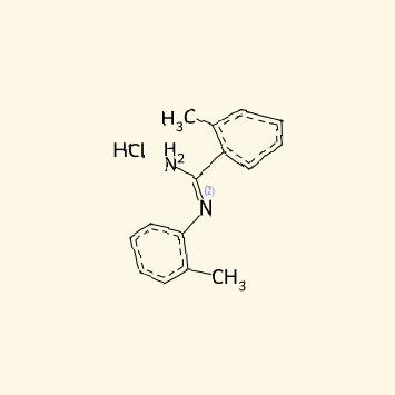 Cc1ccccc1/N=C(\N)c1ccccc1C.Cl